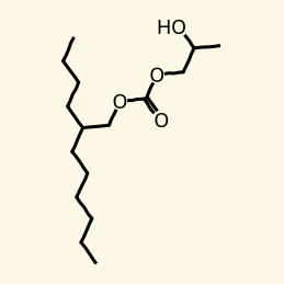 CCCCCCC(CCCC)COC(=O)OCC(C)O